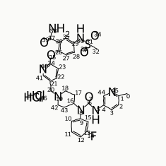 Cc1ccc(NC(=O)N(c2cccc(F)c2)C2CCN(Cc3ccc(Oc4ccc(NS(C)(=O)=O)cc4C(N)=O)nc3)CC2)cn1.Cl.Cl